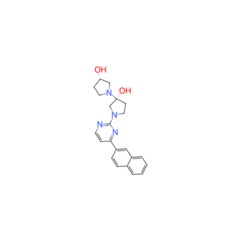 O[C@H]1CCN([C@@]2(O)CCN(c3nccc(-c4ccc5ccccc5c4)n3)C2)C1